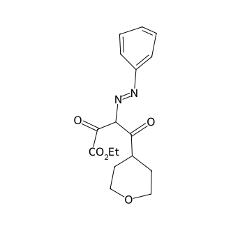 CCOC(=O)C(=O)C(/N=N/c1ccccc1)C(=O)C1CCOCC1